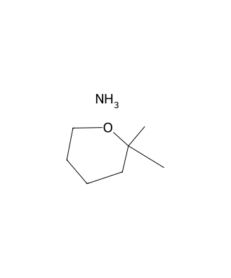 CC1(C)CCCCO1.N